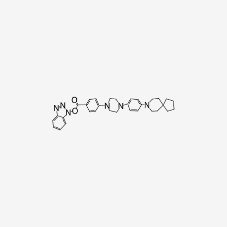 O=C(On1nnc2ccccc21)c1ccc(N2CCN(c3ccc(N4CCC5(CCCC5)CC4)cc3)CC2)cc1